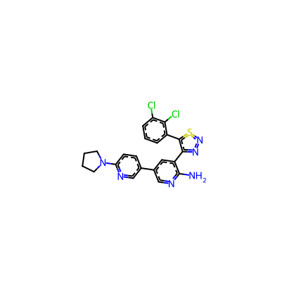 Nc1ncc(-c2ccc(N3CCCC3)nc2)cc1-c1nnsc1-c1cccc(Cl)c1Cl